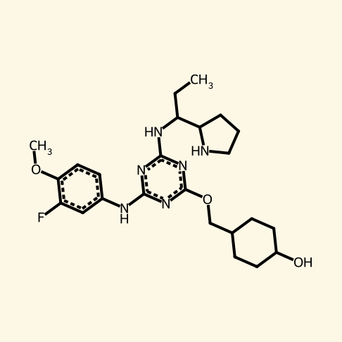 CCC(Nc1nc(Nc2ccc(OC)c(F)c2)nc(OCC2CCC(O)CC2)n1)C1CCCN1